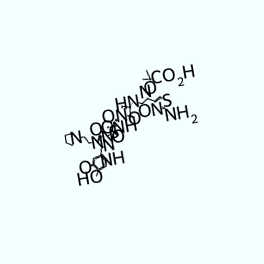 CC(C)(ON=C(C(=O)N[C@H]1CN(C(=O)NS(=O)(=O)n2nc(-c3cc(=O)c(O)c[nH]3)n(CCN3CCCC3)c2=O)C1=O)c1csc(N)n1)C(=O)O